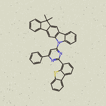 CC1(C)c2ccccc2-c2cc3c(cc21)c1ccccc1n3-c1cc(-c2ccccc2)nc(-c2cccc3c2sc2ccccc23)n1